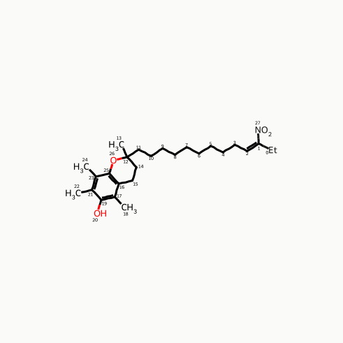 CCC(=CCCCCCCCCCC1(C)CCc2c(C)c(O)c(C)c(C)c2O1)[N+](=O)[O-]